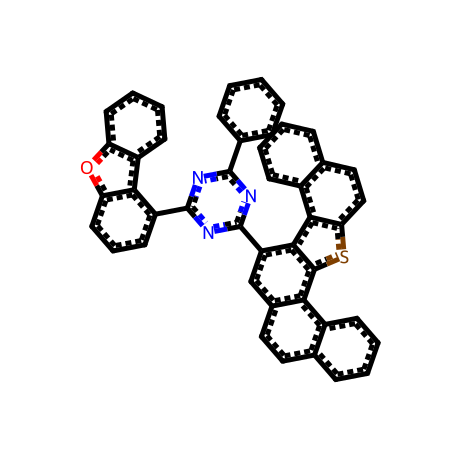 c1ccc(-c2nc(-c3cccc4oc5ccccc5c34)nc(-c3cc4ccc5ccccc5c4c4sc5ccc6ccccc6c5c34)n2)cc1